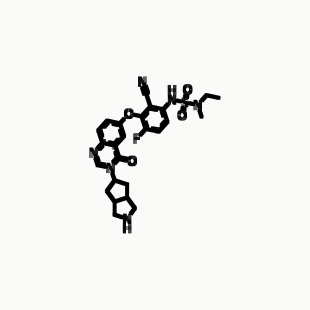 CCN(C)S(=O)(=O)Nc1ccc(F)c(Oc2ccc3ncn(C4CC5CNCC5C4)c(=O)c3c2)c1C#N